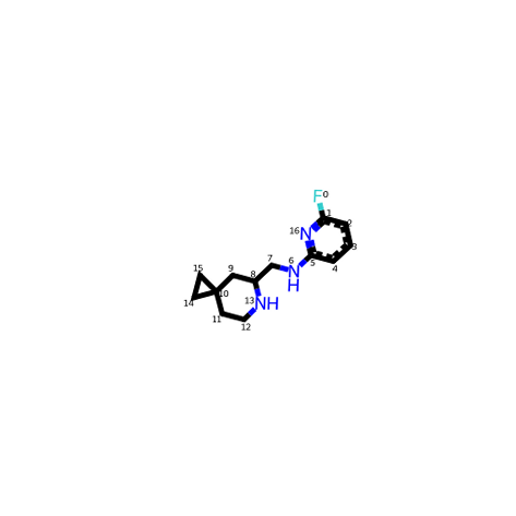 Fc1cccc(NCC2CC3(CCN2)CC3)n1